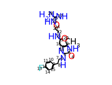 Cc1[nH]c(=O)c(NCCc2ccc(F)cc2)nc1CC(=O)NCCONC(=N)N